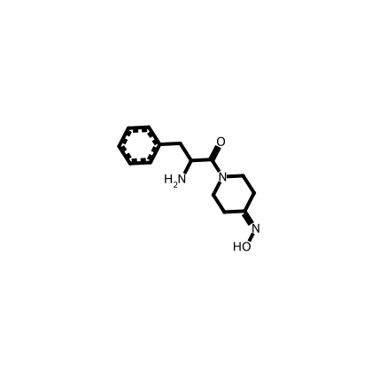 NC(Cc1ccccc1)C(=O)N1CCC(=NO)CC1